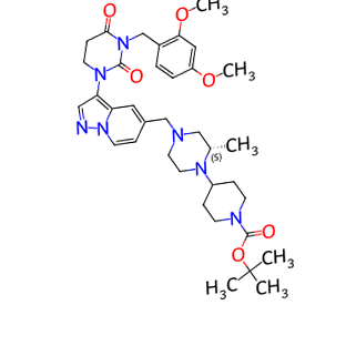 COc1ccc(CN2C(=O)CCN(c3cnn4ccc(CN5CCN(C6CCN(C(=O)OC(C)(C)C)CC6)[C@@H](C)C5)cc34)C2=O)c(OC)c1